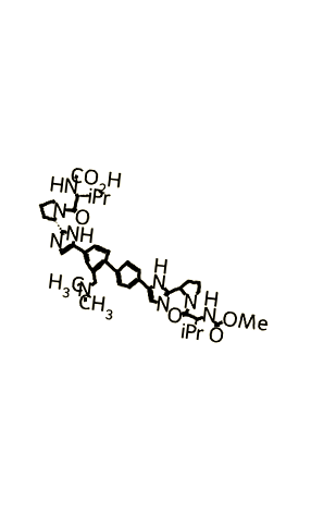 COC(=O)N[C@H](C(=O)N1CCCC1c1ncc(-c2ccc(-c3ccc(-c4cnc([C@@H]5CCCN5C(=O)[C@@H](NC(=O)O)C(C)C)[nH]4)cc3CN(C)C)cc2)[nH]1)C(C)C